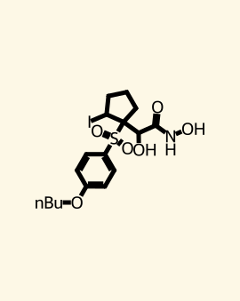 CCCCOc1ccc(S(=O)(=O)C2(C(O)C(=O)NO)CCCC2I)cc1